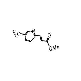 COC(=O)/C=C/c1ccc(C)cn1